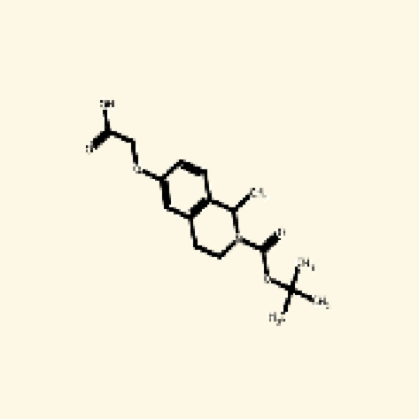 CC1c2ccc(OCC(=O)O)cc2CCN1C(=O)OC(C)(C)C